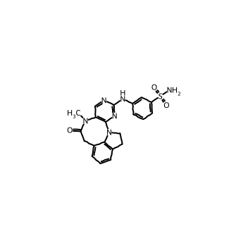 CN1C(=O)Cc2cccc3c2N(CC3)c2nc(Nc3cccc(S(N)(=O)=O)c3)ncc21